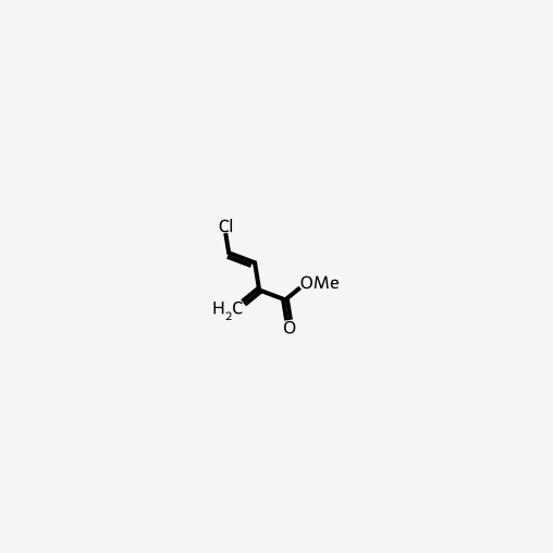 C=C(C=CCl)C(=O)OC